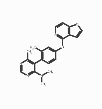 Cc1cc(Oc2nccc3occc23)ccc1-c1c(C)ncnc1N(C)C